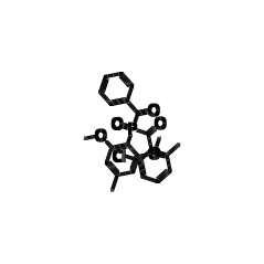 COc1cc(C)cc(OC)c1P(=O)(C(=O)c1ccccc1)C(=O)c1c(C)cccc1Cl